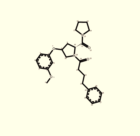 COc1cccc(OC2C[C@H](C(=O)N3CCCC3)N(C(=O)CCCc3ccccc3)C2)c1